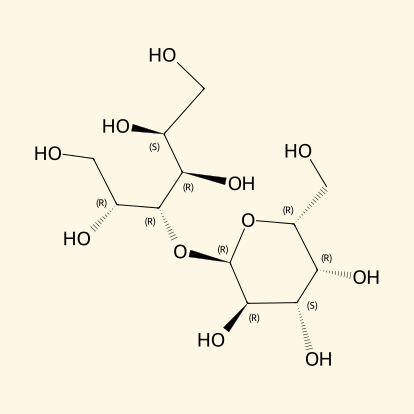 OC[C@@H](O)[C@@H](O[C@H]1O[C@H](CO)[C@H](O)[C@H](O)[C@H]1O)[C@H](O)[C@@H](O)CO